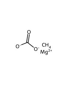 C.O=C([O-])[O-].[Mg+2]